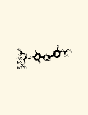 CC(C)Oc1ccc(-c2nnc(-c3cc(F)c(OC[C@H](NC(=O)O)[C@@H](C)OP(=O)(O)O)cc3Cl)s2)cc1Cl